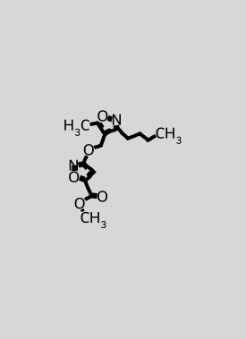 CCCCc1noc(C)c1COc1cc(C(=O)OC)on1